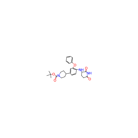 CC(C)(C)OC(=O)N1CCC(c2ccc(NC3CCC(=O)NC3=O)c(Oc3ccccc3)c2)CC1